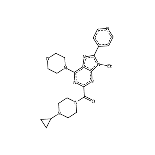 CCn1c(-c2ccncc2)nc2c(N3CCOCC3)nc(C(=O)N3CCN(C4CC4)CC3)nc21